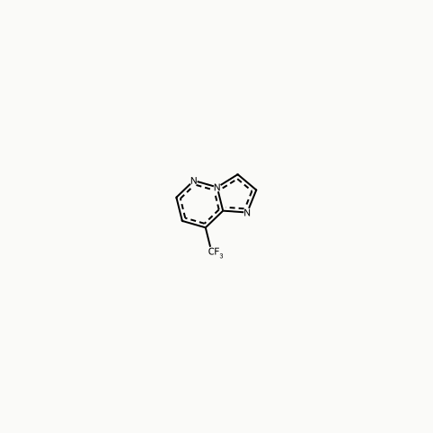 FC(F)(F)c1ccnn2ccnc12